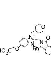 CCn1c(CN2C(=O)c3ccccc3C2=O)[n+](CC2CCOCC2)c2ccc(OCC(=O)O)cc21